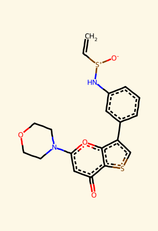 C=C[S+]([O-])Nc1cccc(-c2csc3c(=O)cc(N4CCOCC4)oc23)c1